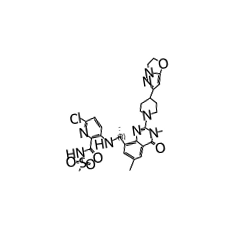 Cc1cc([C@@H](C)Nc2ccc(Cl)nc2C(=O)NS(C)(=O)=O)c2nc(N3CCC(c4cc5n(n4)CCO5)CC3)n(C)c(=O)c2c1